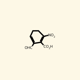 O=CC1=CCCC([N+](=O)[O-])=C1C(=O)O